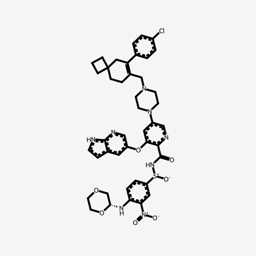 O=C(N[S+]([O-])c1ccc(N[C@H]2COCCO2)c([N+](=O)[O-])c1)c1ncc(N2CCN(CC3=C(c4ccc(Cl)cc4)CC4(CCC4)CC3)CC2)cc1Oc1cnc2[nH]ccc2c1